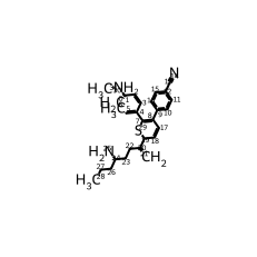 C=C(/C=C\C(=C/C)C1=C(c2ccc(C#N)cc2)C=CC(C(=C)CCC(N)CCC)S1)NC